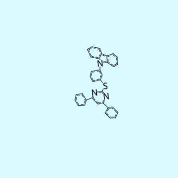 c1ccc(-c2cc(-c3ccccc3)nc(Sc3cccc(-n4c5ccccc5c5ccccc54)c3)n2)cc1